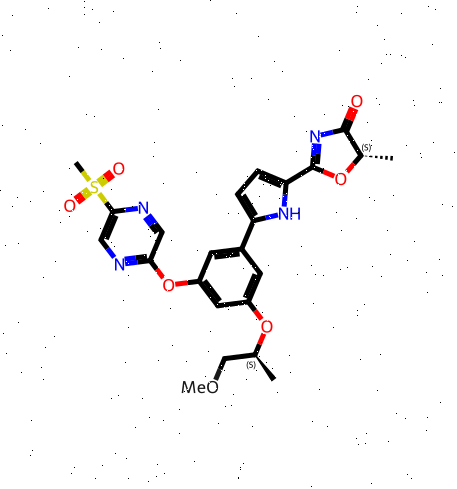 COC[C@H](C)Oc1cc(Oc2cnc(S(C)(=O)=O)cn2)cc(-c2ccc(C3=NC(=O)[C@H](C)O3)[nH]2)c1